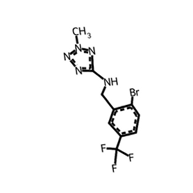 Cn1nnc(NCc2cc(C(F)(F)F)ccc2Br)n1